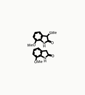 COc1cccc2c1NC(=O)C2.COc1cccc2c1NC(=O)C2SC